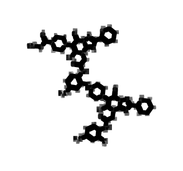 CCc1c(N2CCN(C(=O)OC(C)(C)C)CC2)c(=O)n2nc(C3=CCCCO3)nc2n1CC(=O)Nc1ccc(C(F)(F)F)cc1Cl.CCc1c(N2CCNCC2)c(=O)n2nc(C3=CCCCO3)nc2n1CC(=O)Nc1ccc(C(F)(F)F)cc1Cl